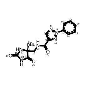 CCCC[C@]1(CNC(=O)c2cnn(-c3ccccc3)n2)NC(=O)NC1=O